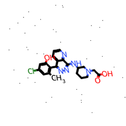 Cc1cc(Cl)cc(O)c1-c1nnc(NC2CCCN(CC(=O)O)C2)c2ncccc12